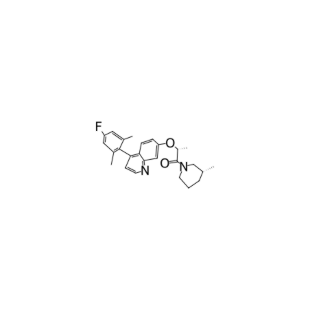 Cc1cc(F)cc(C)c1-c1ccnc2cc(O[C@H](C)C(=O)N3CCC[C@@H](C)C3)ccc12